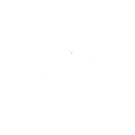 Cc1[c]cnc2c(F)cccc12